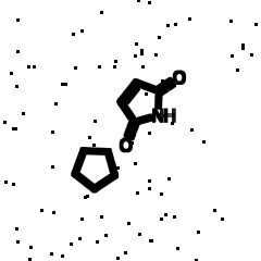 C1CCCC1.O=C1C=CC(=O)N1